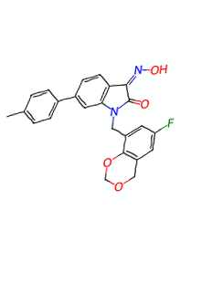 Cc1ccc(-c2ccc3c(c2)N(Cc2cc(F)cc4c2OCOC4)C(=O)/C3=N\O)cc1